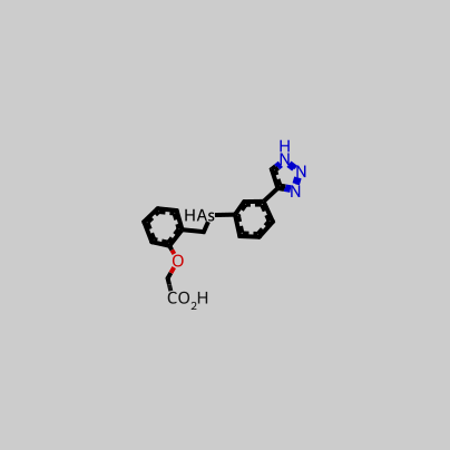 O=C(O)COc1ccccc1C[AsH]c1cccc(-c2c[nH]nn2)c1